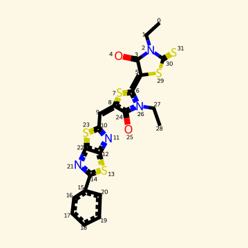 CCN1C(=O)/C(=c2\s/c(=C/c3nc4sc(-c5ccccc5)nc4s3)c(=O)n2CC)SC1=S